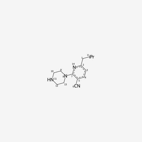 CC(C)Cc1ccc(C#N)c(N2CCNCC2)n1